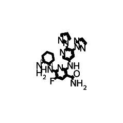 NC(=O)c1cc(F)c(N[C@@H]2CCCC[C@@H]2N)nc1Nc1cnc(-n2cccn2)c(-n2nccn2)c1